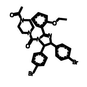 CCOc1ccccc1C1=NC(c2ccc(Br)cc2)C(c2ccc(Br)cc2)N1C(=O)N1CCN(C(C)=O)CC1